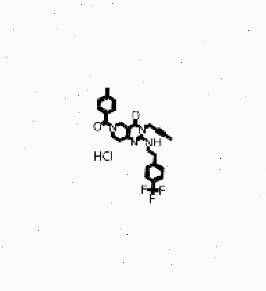 CC#CCn1c(NCCc2ccc(C(F)(F)F)cc2)nc2c(c1=O)CN(C(=O)c1ccc(C)cc1)CC2.Cl